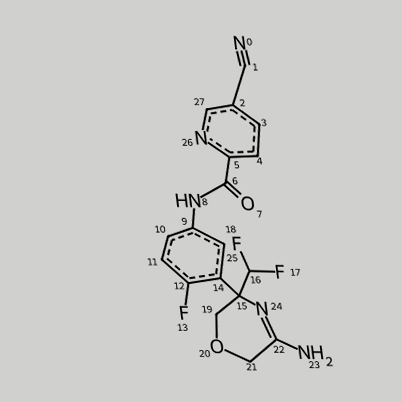 N#Cc1ccc(C(=O)Nc2ccc(F)c(C3(C(F)F)COCC(N)=N3)c2)nc1